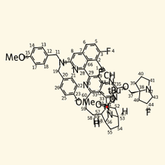 C#Cc1c(F)ccc2cc(N(Cc3ccc(OC)cc3)Cc3ccc(OC)cc3)nc(-c3nc4c5c(nc(OC[C@@]67CCCN6C[C@H](F)C7)nc5c3F)N3C[C@H]5CC[C@@H]([C@H]3CCC4)N5C(=O)OC(C)(C)C)c12